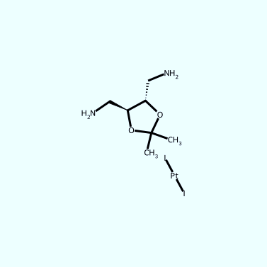 CC1(C)O[C@@H](CN)[C@H](CN)O1.[I][Pt][I]